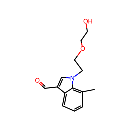 Cc1cccc2c(C=O)cn(CCOCCO)c12